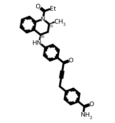 CCC(=O)N1c2ccccc2[C@H](Nc2ccc(C(=O)C#CCc3ccc(C(N)=O)cc3)cc2)C[C@@H]1C